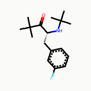 CC(C)(C)N[C@H](Cc1cccc(F)c1)C(=O)C(C)(C)C